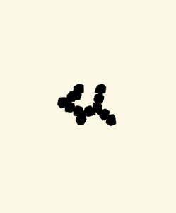 CC1(C)c2ccccc2-c2ccc(-n3c4ccccc4c4ccc(-c5ccc6c(c5)c5ccccc5n6-c5ccc(-c6nc(-c7ccc(-c8ccccc8)cc7)cc(-c7ccc(-c8ccccc8)cc7)n6)cc5)cc43)cc21